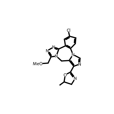 COCc1nnc2n1Cc1c(C3=NCC(C)O3)ncn1-c1ccc(Cl)cc1-2